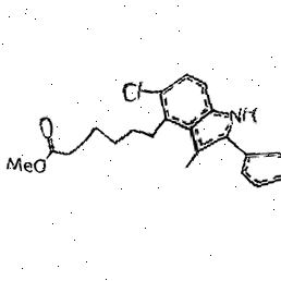 COC(=O)CCCCCc1c(Cl)ccc2[nH]c(-c3cccnc3)c(C)c12